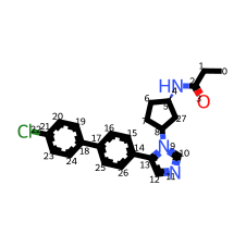 CCC(=O)N[C@H]1CCC(n2cncc2-c2ccc(-c3ccc(Cl)cc3)cc2)C1